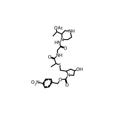 CC(=O)OC(C)C1CNCCN1NC(=O)CNC(=O)C(C)SCC1CC(O)CN1C(=O)OCc1ccc([N+](=O)[O-])cc1